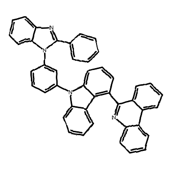 c1ccc(-c2nc3ccccc3n2-c2cccc(-n3c4ccccc4c4c(-c5nc6ccccc6c6ccccc56)cccc43)c2)cc1